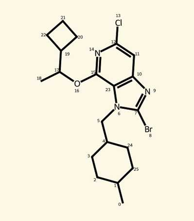 CC1CCC(Cn2c(Br)nc3cc(Cl)nc(OC(C)C4CCC4)c32)CC1